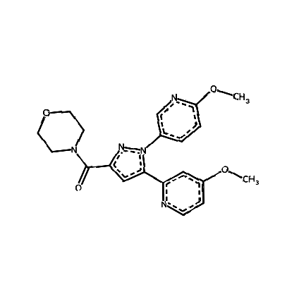 COc1ccnc(-c2cc(C(=O)N3CCOCC3)nn2-c2ccc(OC)nc2)c1